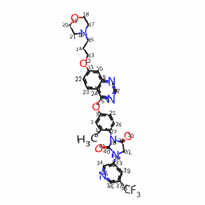 Cc1cc(Oc2ncnc3cc(OCCCN4CCOCC4)ccc23)ccc1N1C(=O)CN(c2cncc(C(F)(F)F)c2)C1=O